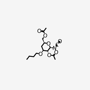 CCCCO[C@H]1C[C@@H](COC(C)=O)O[C@@H](N=C=O)[C@@H]1OC(C)=O